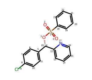 O=S(=O)(O[C@@H](c1ccc(Cl)cc1)c1ccccn1)c1ccccc1